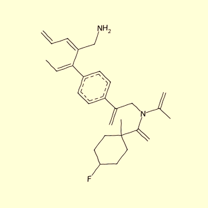 C=C/C=C(CN)\C(=C/C)c1ccc(C(=C)CN(C(=C)C)C(=C)C2(C)CCC(F)CC2)cc1